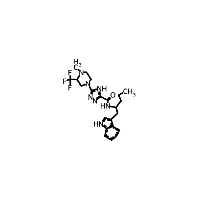 CCCC(Cc1c[nH]c2ccccc12)NC(=O)c1nnc(N2CCN(C)C(C(F)(F)F)C2)[nH]1